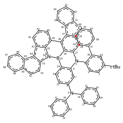 CC(C)(C)c1ccc(N2c3cc(N(c4ccccc4)c4ccccc4)ccc3B3c4c2cc2oc5ccccc5c2c4-c2cccc4c5c6ccccc6ccc5n3c24)c(-c2ccccc2)c1